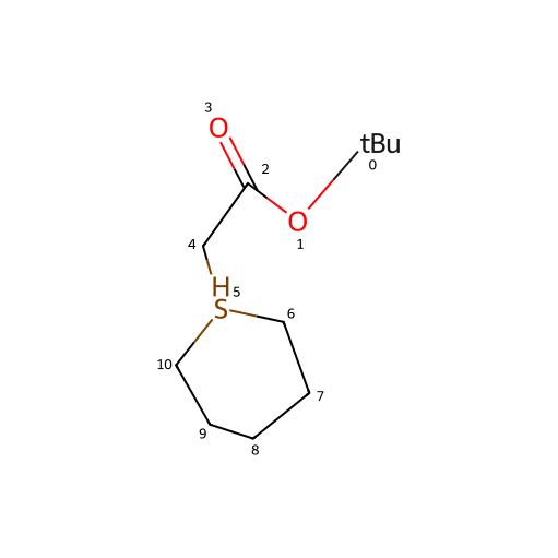 CC(C)(C)OC(=O)C[SH]1CCCCC1